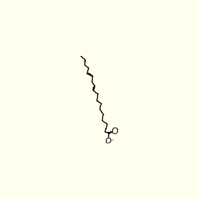 CCCCC=CCC=CCCCCCCCCC([O])=O